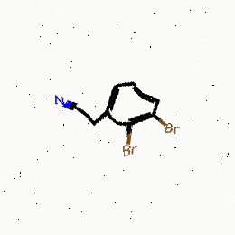 N#CCc1cccc(Br)c1Br